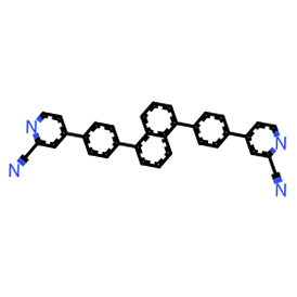 N#Cc1cc(-c2ccc(-c3cccc4c(-c5ccc(-c6ccnc(C#N)c6)cc5)cccc34)cc2)ccn1